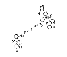 COc1cccc(F)c1-c1nccc(C(=O)Nc2ccc(-c3cnccc3C#N)cc2N2CCN(C(=O)CCOCCOCCOCCNc3cccc4c3C(=O)N(C3CCC(=O)NC3=O)C4=O)CC2)n1